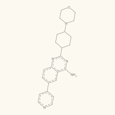 Nc1nc(C2CCC(N3CCOCC3)CC2)nc2ccc(-c3ccncc3)cc12